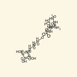 CCC(=O)NCCNC(=O)/N=C(/N)NCCCC(NC(=O)[C@H](c1ccccc1)c1cccc(OCCCCNC(=O)CONC(=O)CCNC(=O)CN2CCN(CC(=O)O)CCN(CC(=O)O)CCN(CC(=O)O)CC2)c1)C(=O)NCc1c(F)cc(O)cc1F